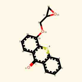 O=c1c2ccccc2sc2c(OCC3CO3)cccc12